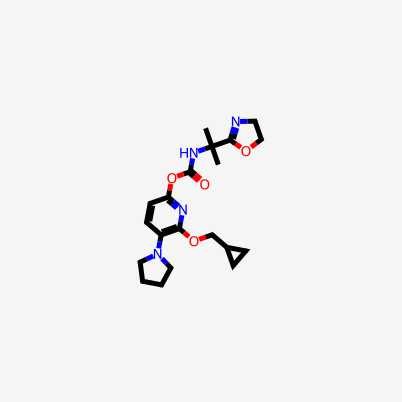 CC(C)(NC(=O)Oc1ccc(N2CCCC2)c(OCC2CC2)n1)C1=NCCO1